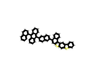 c1ccc2c(-c3c4ccccc4c(-c4ccc5cc(-c6cc7sc8cc9sc%10ccccc%10c9cc8c7c7ccccc67)ccc5c4)c4ccccc34)cccc2c1